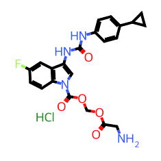 Cl.NCC(=O)OCOC(=O)n1cc(NC(=O)Nc2ccc(C3CC3)cc2)c2cc(F)ccc21